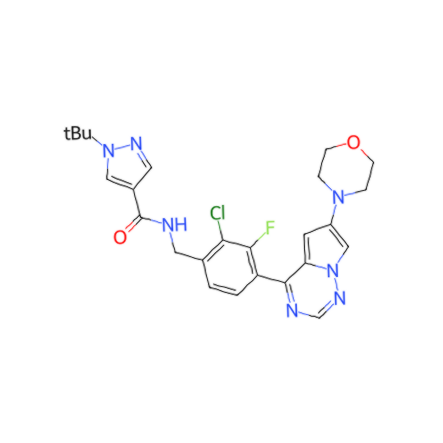 CC(C)(C)n1cc(C(=O)NCc2ccc(-c3ncnn4cc(N5CCOCC5)cc34)c(F)c2Cl)cn1